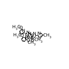 COc1cccc(-c2nnc(NS(=O)(=O)[C@@H](C)[C@@H](N)c3ncc(C)cn3)n2-c2c(OC)cccc2OC)n1